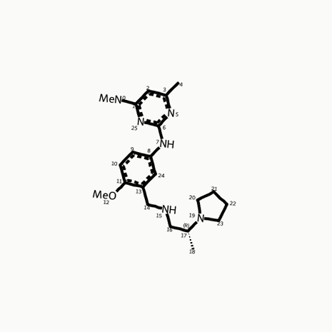 CNc1cc(C)nc(Nc2ccc(OC)c(CNC[C@@H](C)N3CCCC3)c2)n1